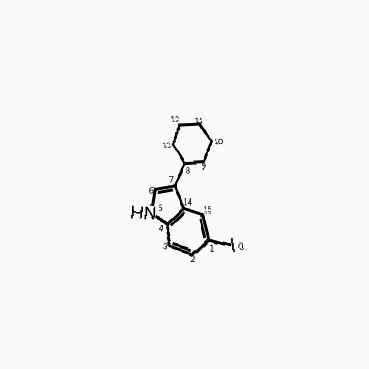 Ic1ccc2[nH]cc(C3CCCCC3)c2c1